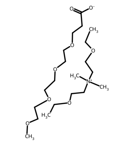 CCOCC[N+](C)(C)CCOCC.COCCOCCOCCOCCC(=O)[O-]